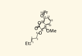 CCC=CCCOc1c(OC)c2cccc(OC(C)C)c2oc1=O